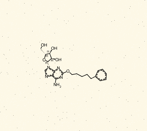 Nc1nc(OCCCCCc2ccccc2)nc2c1ncn2[C@@H]1O[C@H](CO)[C@@H](O)[C@H]1O